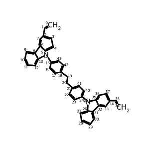 C=Cc1ccc2c(c1)c1ccccc1n2-c1ccc(CCc2ccc(-n3c4ccccc4c4cc(C=C)ccc43)cc2)cc1